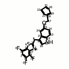 Fc1cc(F)c2sc(Cc3c[nH]c4ccc(OCc5ccccc5)cc34)nc2c1F